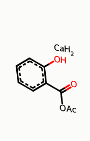 CC(=O)OC(=O)c1ccccc1O.[CaH2]